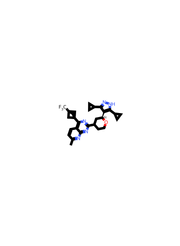 Cc1ccc2c(C34CC(C(F)(F)F)(C3)C4)nc(C3CCO[C@H](c4c(C5CC5)n[nH]c4C4CC4)C3)nc2n1